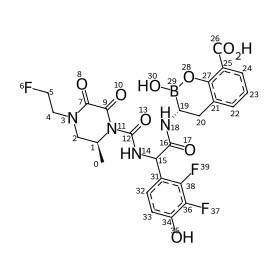 C[C@H]1CN(CCF)C(=O)C(=O)N1C(=O)NC(C(=O)N[C@H]1Cc2cccc(C(=O)O)c2OB1O)c1ccc(O)c(F)c1F